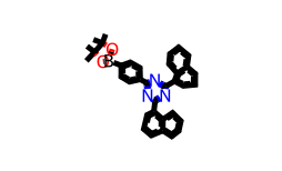 CC1(C)OB(c2ccc(-c3nc(-c4cccc5ccccc45)nc(-c4cccc5ccccc45)n3)cc2)OC1(C)C